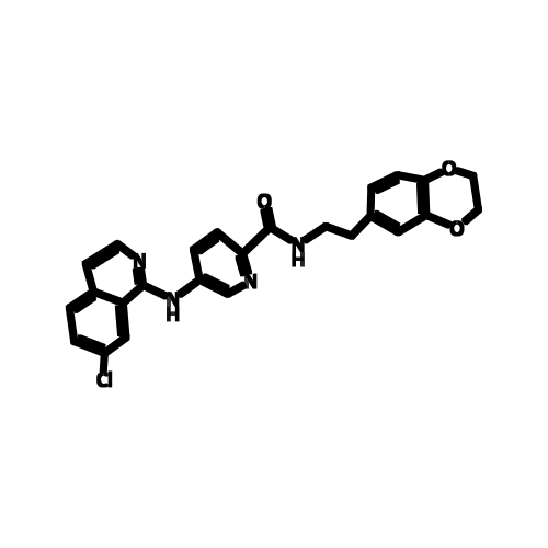 O=C(NCCc1ccc2c(c1)OCCO2)c1ccc(Nc2nccc3ccc(Cl)cc23)cn1